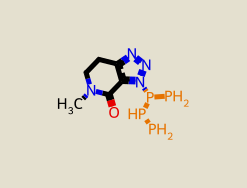 CN1CCc2nnn(P(P)PP)c2C1=O